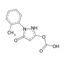 Cc1ccccc1-n1[nH]c(OC(=O)O)cc1=O